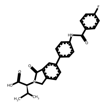 CC(C)[C@@H](C(=O)O)N1Cc2ccc(-c3ccc(NC(=O)c4ccc(F)cc4)cc3)cc2C1=O